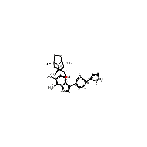 CC(=O)c1c([C@@H]2C[C@H]3CC[C@@H](C2)N3C(=O)CO)nc2c(-c3ccc(-c4cc[nH]n4)nc3)cnn2c1N